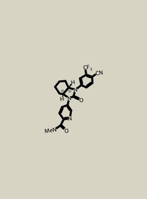 CNC(=O)c1ccc(N2C(=O)N(c3ccc(C#N)c(C(F)(F)F)c3)[C@H]3CCCC[C@@H]32)cn1